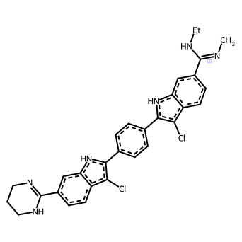 CCN/C(=N\C)c1ccc2c(Cl)c(-c3ccc(-c4[nH]c5cc(C6=NCCCN6)ccc5c4Cl)cc3)[nH]c2c1